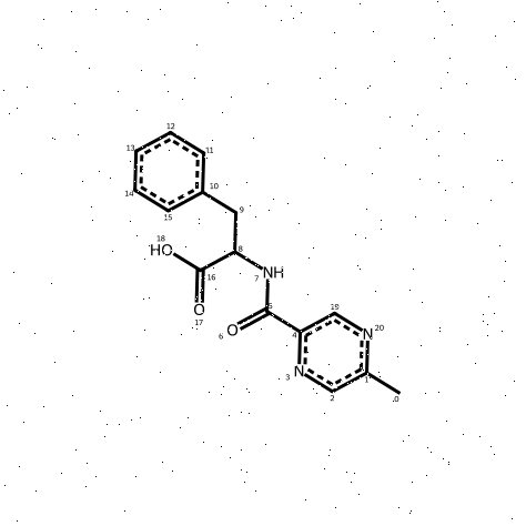 Cc1cnc(C(=O)NC(Cc2ccccc2)C(=O)O)cn1